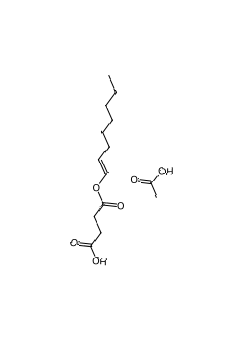 CC(=O)O.CCCCCCC=COC(=O)CCC(=O)O